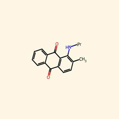 Cc1ccc2c(c1NC(C)C)C(=O)c1ccccc1C2=O